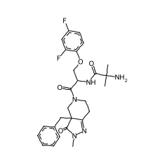 CN1N=C2CCN(C(=O)C(COc3ccc(F)cc3F)NC(=O)C(C)(C)N)CC2(Cc2ccccc2)C1=O